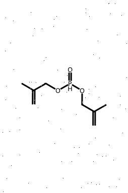 C=C(C)CO[PH](=O)OCC(=C)C